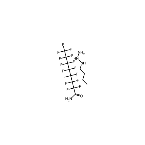 CCCCNNN.NC(=O)C(F)(F)C(F)(F)C(F)(F)C(F)(F)C(F)(F)C(F)(F)C(F)(F)F